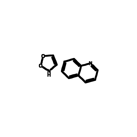 C1=COON1.c1ccc2ncccc2c1